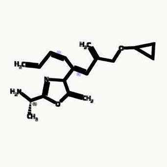 C=C/C=C\C(=C/C(=C)COC1CC1)C1N=C([C@H](C)N)OC1=C